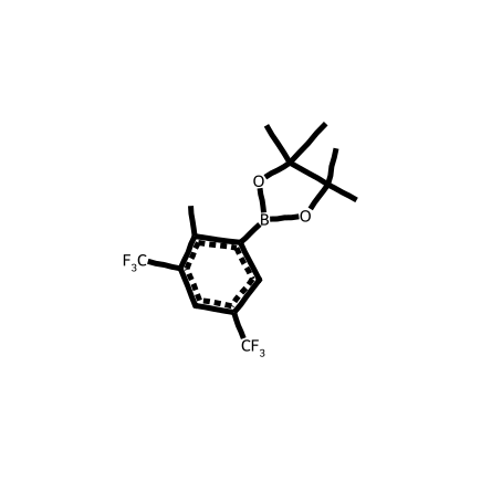 Cc1c(B2OC(C)(C)C(C)(C)O2)cc(C(F)(F)F)cc1C(F)(F)F